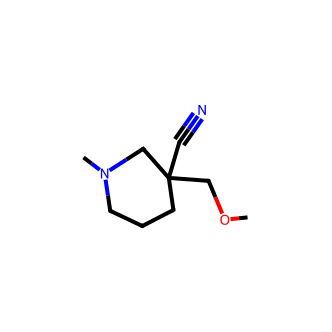 COCC1(C#N)CCCN(C)C1